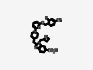 N#Cc1ccc(COc2cccc(N3CCC(=Cc4nc5ccc(C(=O)O)cc5n4CC4CCO4)CC3)n2)c(F)c1